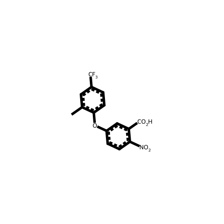 Cc1cc(C(F)(F)F)ccc1Oc1ccc([N+](=O)[O-])c(C(=O)O)c1